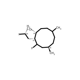 CC1CC[C@@H](C)CC(F)[C@H](C[C@@H](C)I)[C@H](Cl)CC1